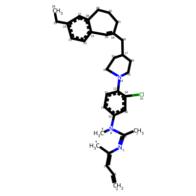 C=C/C=C(C)\N=C(\C)N(C)c1ccc(N2CCC(CC3=Cc4ccc(CC)cc4CCC3)CC2)c(Cl)c1